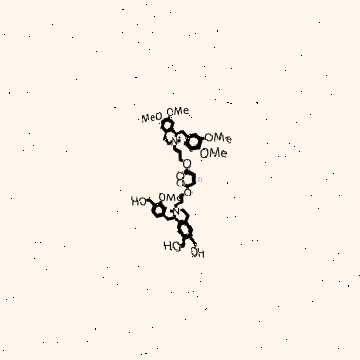 COc1cc(CC2c3cc(CO)c(CO)cc3CC[N+]2(C)CCCOC(=O)/C=C\C(=O)OCCC[N+]2(C)CCc3cc(OC)c(OC)cc3C2Cc2ccc(OC)c(OC)c2)ccc1CO